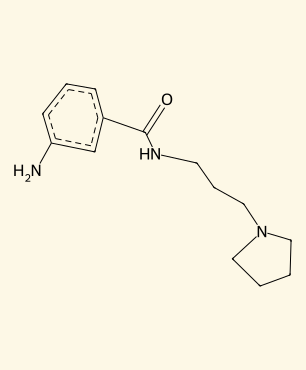 Nc1cccc(C(=O)NCCCN2CCCC2)c1